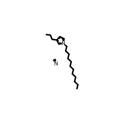 C#N.CCCCCCCCCCCCn1ccc(CCC)c1